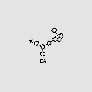 N#Cc1ccc(-c2cc(-c3ccc(-c4cccnc4)cc3)cc(-c3ccc(-c4cc5ccc6cccc7c6c5c(c4)n7-c4ccccc4)cc3)c2)cc1